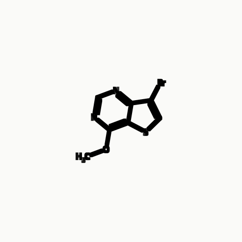 COc1ncnc2c(Br)csc12